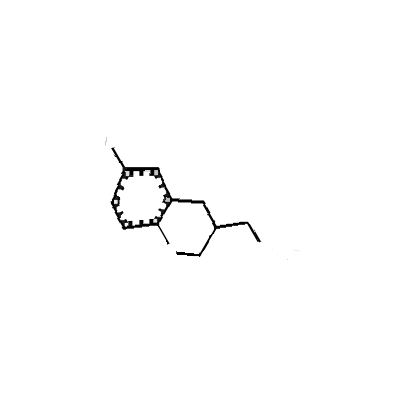 O=C(O)CC1CSc2ccc(F)cc2C1